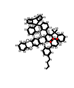 CCCCc1ccc(N2c3cc4c(cc3B3c5c2cc2c(c5-c5cccc6c5N3c3ccccc3C63c5ccccc5-c5ccccc53)C(C)(C)c3ccccc3-2)Oc2ccccc2O4)c(-c2ccccc2)c1